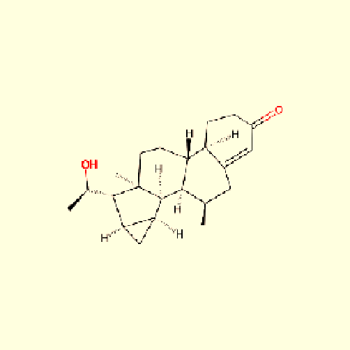 C[C@@H]1CC2=CC(=O)CC[C@@H]2[C@H]2CC[C@@]3(C)[C@H]([C@H]4C[C@H]4[C@@H]3[C@@H](C)O)[C@@H]21